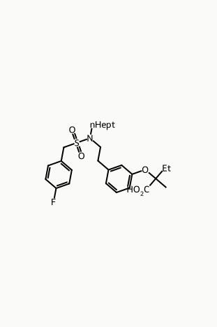 CCCCCCCN(CCc1cccc(OC(C)(CC)C(=O)O)c1)S(=O)(=O)Cc1ccc(F)cc1